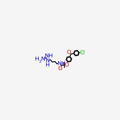 CC(C)(Oc1ccc(C(=O)c2ccc(Cl)cc2)cc1)C(=O)NCCCCNC(=N)N